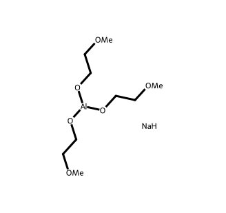 COCC[O][Al]([O]CCOC)[O]CCOC.[NaH]